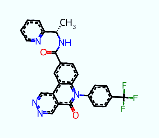 C[C@H](NC(=O)c1ccc2c(c1)c1cnncc1c(=O)n2-c1ccc(C(F)(F)F)cc1)c1ccccn1